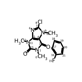 Cn1c(=O)c2c(nc(Cl)n2C)n(C)c1=O.Fc1ccccc1